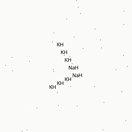 [KH].[KH].[KH].[KH].[KH].[KH].[NaH].[NaH]